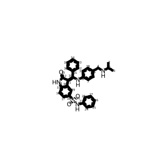 CC(C)NCc1ccc(NC(=C2C(=O)Nc3ccc(S(=O)(=O)Nc4ccccc4)cc32)c2ccccc2)cc1